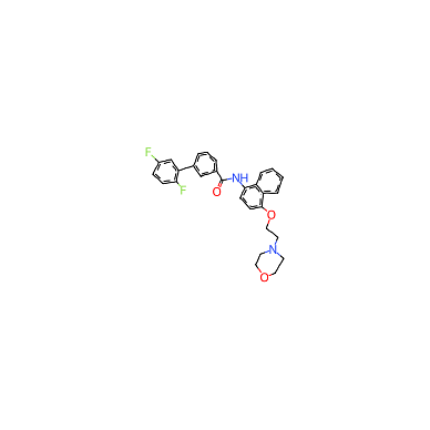 O=C(Nc1ccc(OCCN2CCOCC2)c2ccccc12)c1cccc(-c2cc(F)ccc2F)c1